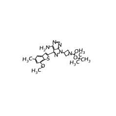 COc1cc(C)cc2cc(-c3nn(C4CN(C(=O)OC(C)(C)C)C4)c4ncnc(N)c34)sc12